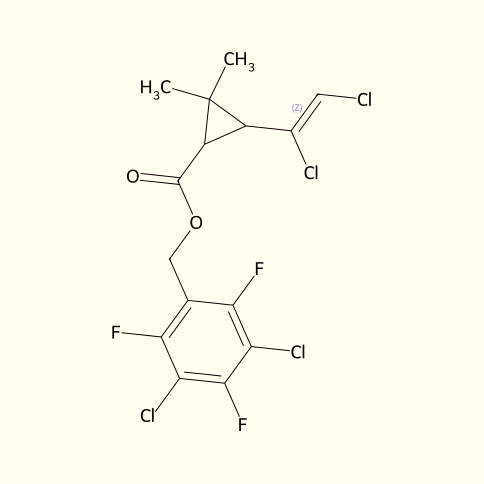 CC1(C)C(C(=O)OCc2c(F)c(Cl)c(F)c(Cl)c2F)C1/C(Cl)=C/Cl